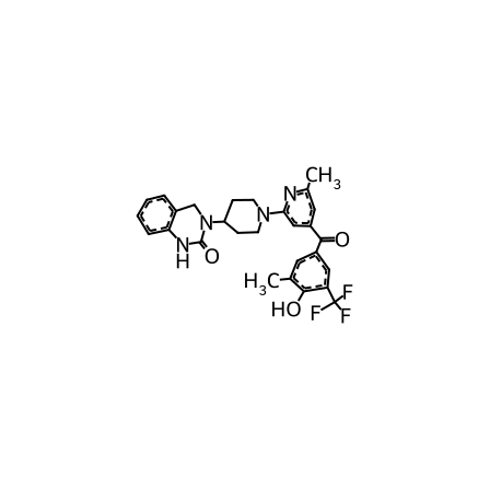 Cc1cc(C(=O)c2cc(C)c(O)c(C(F)(F)F)c2)cc(N2CCC(N3Cc4ccccc4NC3=O)CC2)n1